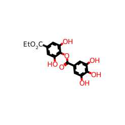 CCOC(=O)c1cc(O)c(OC(=O)c2cc(O)c(O)c(O)c2)c(O)c1